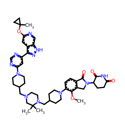 COc1c(N2CCC(CN3CCN(CC4CCN(c5cc(-c6n[nH]c7cnc(OC8(C)CC8)cc67)ncn5)CC4)CC3(C)C)CC2)ccc2c1CN(C1CCC(=O)NC1=O)C2=O